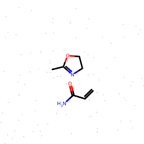 C=CC(N)=O.CC1=NCCO1